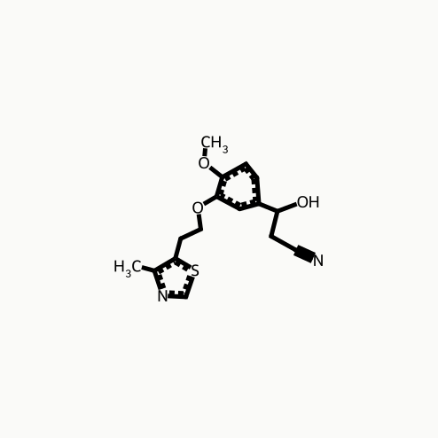 COc1ccc(C(O)CC#N)cc1OCCc1scnc1C